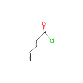 C=CC=CC(=O)Cl